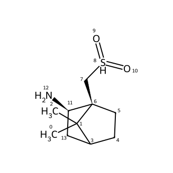 CC1(C)C2CC[C@@]1(C[SH](=O)=O)[C@H](N)C2